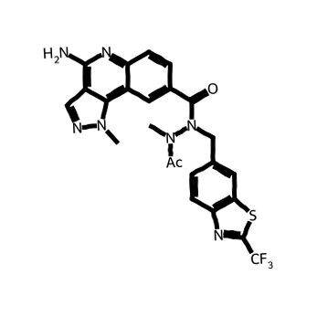 CC(=O)N(C)N(Cc1ccc2nc(C(F)(F)F)sc2c1)C(=O)c1ccc2nc(N)c3cnn(C)c3c2c1